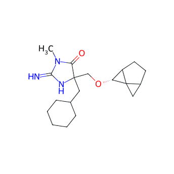 CN1C(=N)NC(CO[C@@H]2C3CCC4CC432)(CC2CCCCC2)C1=O